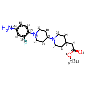 CC(C)(C)OC(=O)CC1CCN(C2CCN(c3ccc(N)cc3F)CC2)CC1